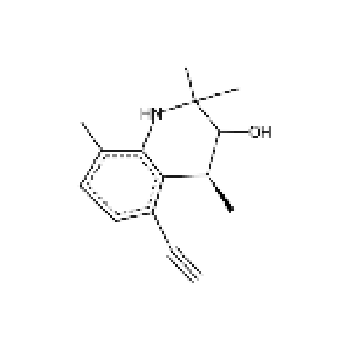 C#Cc1ccc(C)c2c1[C@H](C)C(O)C(C)(C)N2